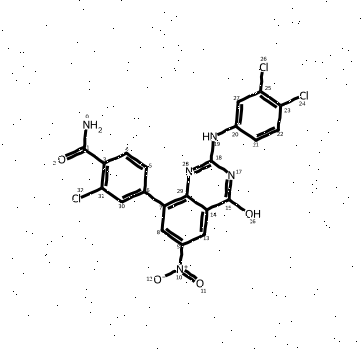 NC(=O)c1ccc(-c2cc([N+](=O)[O-])cc3c(O)nc(Nc4ccc(Cl)c(Cl)c4)nc23)cc1Cl